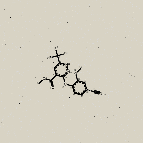 COC(=O)c1cc(C(F)(F)F)nnc1Oc1ccc(C#N)cc1OC